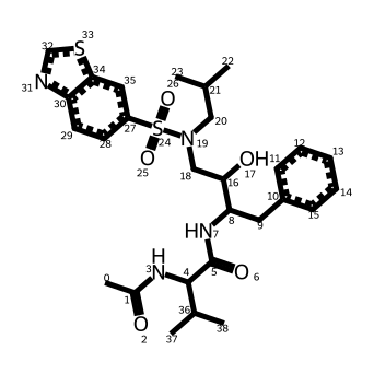 CC(=O)NC(C(=O)NC(Cc1ccccc1)C(O)CN(CC(C)C)S(=O)(=O)c1ccc2ncsc2c1)C(C)C